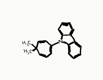 CC1(C)C=CC=C(n2c3ccccc3c3ccccc32)C=C1